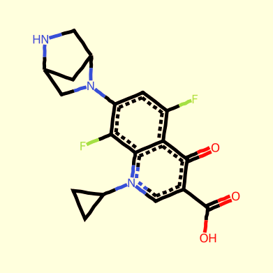 O=C(O)c1cn(C2CC2)c2c(F)c(N3CC4CC3CN4)cc(F)c2c1=O